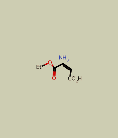 CCOC(=O)/C=C\C(=O)O.N